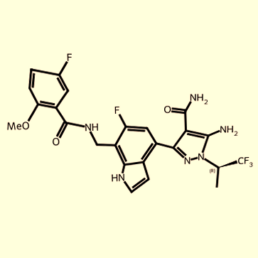 COc1ccc(F)cc1C(=O)NCc1c(F)cc(-c2nn([C@H](C)C(F)(F)F)c(N)c2C(N)=O)c2cc[nH]c12